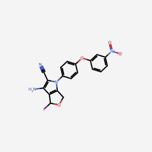 N#Cc1c(N)c2c(n1-c1ccc(Oc3cccc([N+](=O)[O-])c3)cc1)COC2I